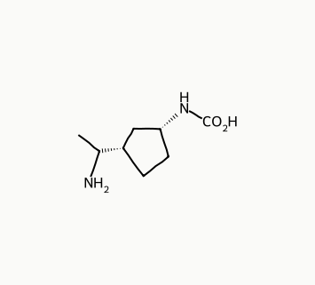 CC(N)[C@H]1CC[C@@H](NC(=O)O)C1